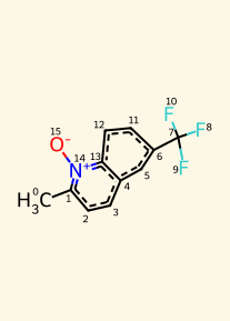 Cc1ccc2cc(C(F)(F)F)ccc2[n+]1[O-]